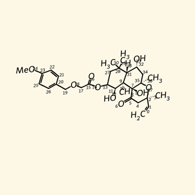 C=C[C@@]1(C)CC(=O)[C@]2(O)[C@@]3(C)[C@@H](O)C(OC(=O)COCc4ccc(OC)cc4)CC(C)(C)[C@@H]3[C@H](O)C[C@@]2(C)O1